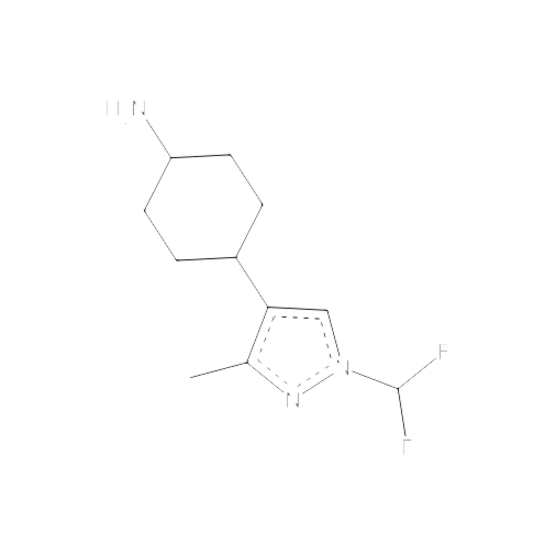 Cc1nn(C(F)F)cc1C1CCC(N)CC1